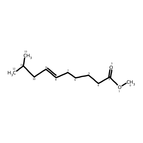 COC(=O)CCCCC=CCC(C)C